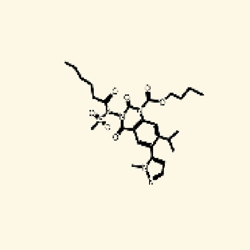 CCCCCC(=O)N(n1c(=O)c2cc(-c3ccnn3C)c(C(C)C)cc2n(C(=O)OCCCC)c1=O)S(C)(=O)=O